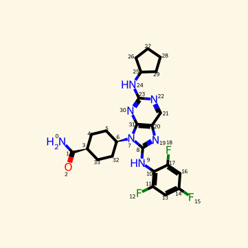 NC(=O)[C@H]1CC[C@@H](n2c(Nc3c(F)cc(F)cc3F)nc3cnc(NC4CCCC4)nc32)CC1